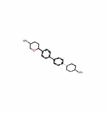 CCCC1CCC(c2ccc(-c3ccc([C@H]4CC[C@H](CCC)CC4)cc3)cc2)OC1